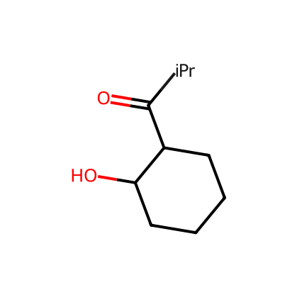 CC(C)C(=O)C1CCCCC1O